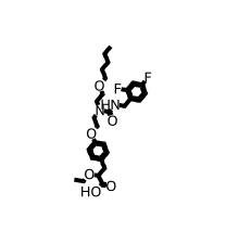 CCCCCOCCN(CCOc1ccc(CC(OCC)C(=O)O)cc1)C(=O)NCc1ccc(F)cc1F